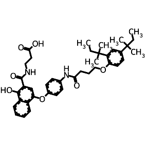 CCC(C)(C)c1ccc(OCCCC(=O)Nc2ccc(Oc3cc(C(=O)NCCC(=O)O)c(O)c4ccccc34)cc2)c(C(C)(C)CC)c1